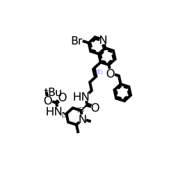 CC1C[C@H](NC(=O)OC(C)(C)C)C[C@@H](C(=O)NCC/C=C/c2c(OCc3ccccc3)ccc3ncc(Br)cc23)N1C